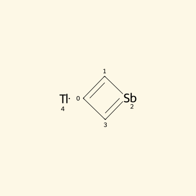 C1=[CH][Sb]=[CH]1.[Tl]